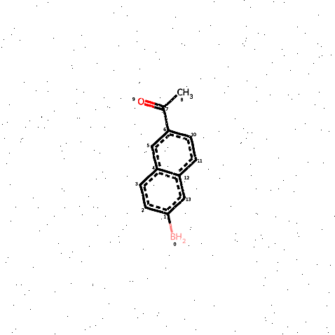 Bc1ccc2cc(C(C)=O)ccc2c1